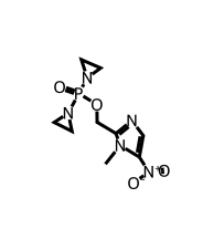 Cn1c([N+](=O)[O-])cnc1COP(=O)(N1CC1)N1CC1